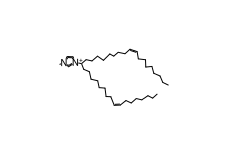 CCCCCCC/C=C\CCCCCCCCC(CCCCCCCC/C=C\CCCCCCCC)[n+]1ccn(C)c1